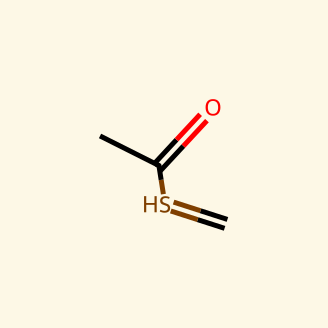 C=[SH]C(C)=O